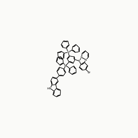 Brc1ccc2c(c1)N1C=CC=CN1N2c1cc([Si](c2ccccc2)(c2ccccc2)c2ccccc2)cc([Si](c2ccccc2)(c2ccccc2)c2ccc(-c3ccc4[nH]c5ccccc5c4c3)cc2)c1